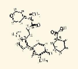 Cc1nc(-c2cnn(C)c2COC(=O)N(C)C2CCOCC2)ccc1O[C@H]1CCC[C@H](C(=O)O)C1